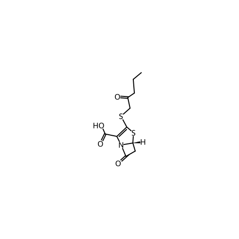 CCCC(=O)CSC1=C(C(=O)O)N2C(=O)C[C@H]2S1